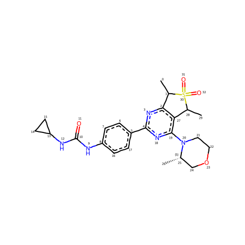 CC1c2nc(-c3ccc(NC(=O)NC4CC4)cc3)nc(N3CCOC[C@@H]3C)c2C(C)S1(=O)=O